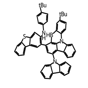 CC(C)(C)c1ccc(Nc2cc3sc4ccccc4c3cc2-c2cc(-n3c4ccccc4c4ccccc43)c3c4ccccc4n4c3c2Bc2cc(C(C)(C)C)ccc2-4)cc1